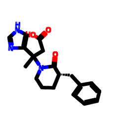 CC(CC(=O)O)(c1c[nH]cn1)N1CCC[C@@H](Cc2ccccc2)C1=O